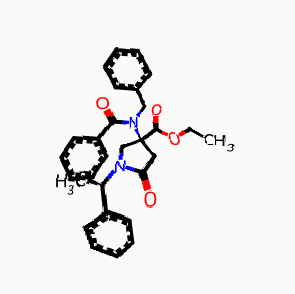 CCOC(=O)[C@]1(N(Cc2ccccc2)C(=O)c2ccccc2)CC(=O)N([C@H](C)c2ccccc2)C1